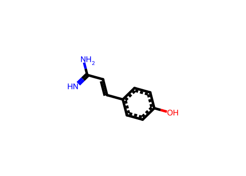 N=C(N)/C=C/c1ccc(O)cc1